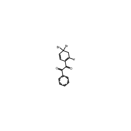 O=C(C(=O)c1ccccc1)C1=C(F)CC(Br)(Br)C=C1